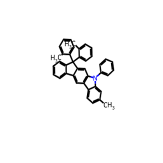 Cc1ccc2c3cc4c(cc3n(-c3ccccc3)c2c1)C(c1ccccc1C)(c1ccccc1C)c1ccccc1-4